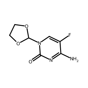 Nc1nc(=O)n(C2OCCO2)cc1F